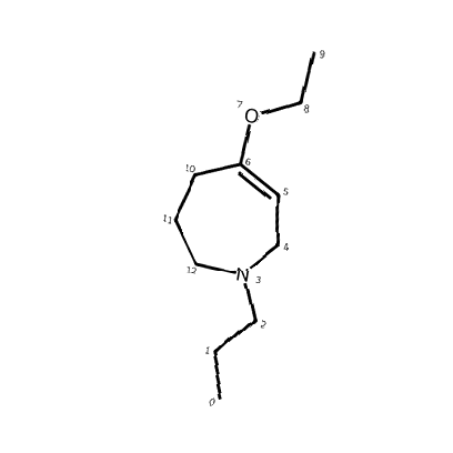 CCCN1CC=C(OCC)CCC1